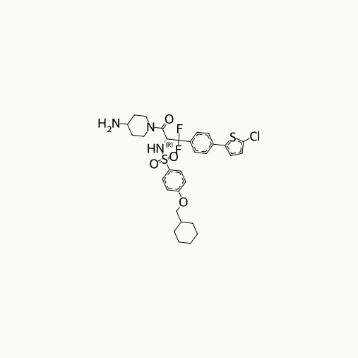 NC1CCN(C(=O)[C@@H](NS(=O)(=O)c2ccc(OCC3CCCCC3)cc2)C(F)(F)c2ccc(-c3ccc(Cl)s3)cc2)CC1